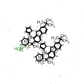 CC(C)(C)c1ccc2c(c1)Cc1c-2ccc(C(C)(C)C)[c]1[Hf]([C]1=CC=CC1)=[C]1CCCCC1.CC(C)(C)c1ccc2c(c1)Cc1c-2ccc(C(C)(C)C)[c]1[Hf]([C]1=CC=CC1)=[C]1CCCCC1.Cl.Cl